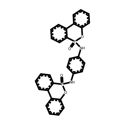 O=P1(Nc2ccc(NP3(=O)Oc4ccccc4-c4ccccc43)cc2)Oc2ccccc2-c2ccccc21